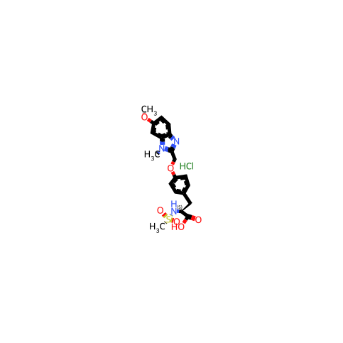 COc1ccc2nc(COc3ccc(C[C@H](NS(C)(=O)=O)C(=O)O)cc3)n(C)c2c1.Cl